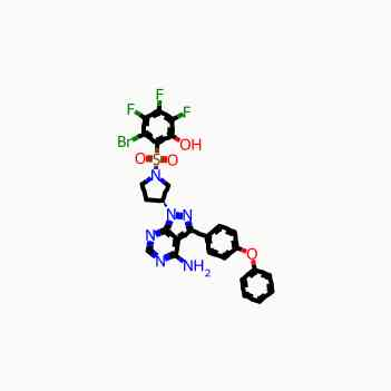 Nc1ncnc2c1c(-c1ccc(Oc3ccccc3)cc1)nn2[C@@H]1CCN(S(=O)(=O)c2c(O)c(F)c(F)c(F)c2Br)C1